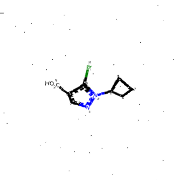 O=C(O)c1cnn(C2CCC2)c1Br